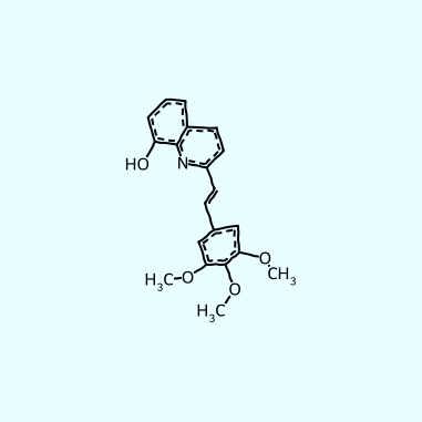 COc1cc(C=Cc2ccc3cccc(O)c3n2)cc(OC)c1OC